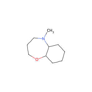 CN1CCCOC2CCCCC21